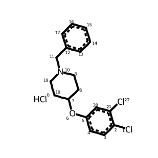 Cl.Clc1ccc(OC2CCN(Cc3ccccc3)CC2)cc1Cl